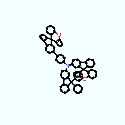 c1ccc(C2(c3ccccc3)c3ccccc3-c3ccc(N(c4ccc(-c5ccc6c(c5)C5(c7ccccc7Oc7ccccc75)c5ccccc5-6)cc4)c4ccc5c(c4)C4(c6ccccc6Oc6ccccc64)c4ccccc4-5)cc32)cc1